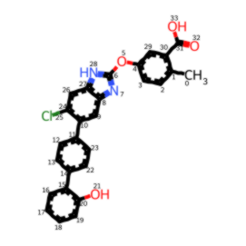 Cc1ccc(Oc2nc3cc(-c4ccc(-c5ccccc5O)cc4)c(Cl)cc3[nH]2)cc1C(=O)O